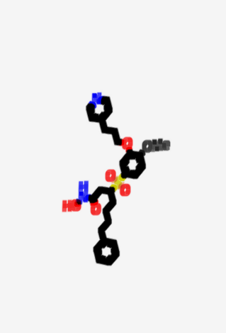 COc1ccc(S(=O)(=O)C(CCCCc2ccccc2)CC(=O)NO)cc1OCCCc1ccncc1